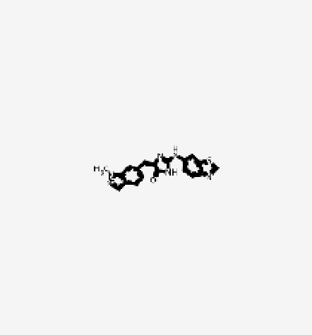 Cn1ncc2ccc(C=C3N=C(Nc4ccc5ncsc5c4)NC3=O)cc21